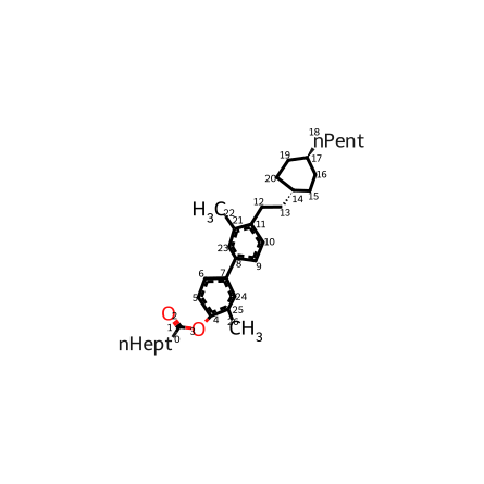 CCCCCCCC(=O)Oc1ccc(-c2ccc(CC[C@H]3CC[C@H](CCCCC)CC3)c(C)c2)cc1C